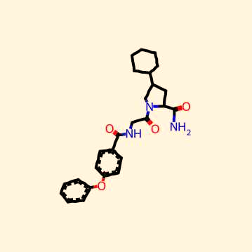 NC(=O)C1CC(C2CCCCC2)CN1C(=O)CNC(=O)c1ccc(Oc2ccccc2)cc1